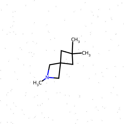 CN1CC2(C1)CC(C)(C)C2